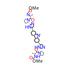 COO/C=N\[C@@H](C)C(=O)N1CCC[C@H]1c1ncc(-c2ccc3c4ccc(-c5cnc([C@@H]6CCCN6C(=O)[C@H](C)NC(=O)OC)[nH]5)cc4n(C)c3c2)[nH]1